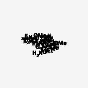 CCOc1c(CC(N)=O)cc([C@@](O)(CNC(=O)c2cc(OC)c3nn(C4(F)CC4)cc3c2)c2ccccc2)nc1-c1ccc(F)c(OC)c1Cl